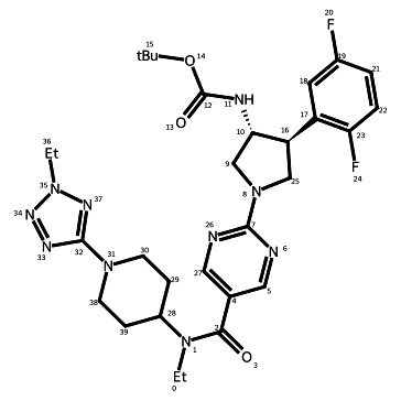 CCN(C(=O)c1cnc(N2C[C@H](NC(=O)OC(C)(C)C)[C@@H](c3cc(F)ccc3F)C2)nc1)C1CCN(c2nnn(CC)n2)CC1